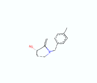 C=C1[C@@H](O)CCN1Cc1ccc(C)cc1